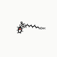 CCCCCCCCCCCCCCCCCCOP(=O)(O)OC1CC2CCC(C1)[N+]2(C)C